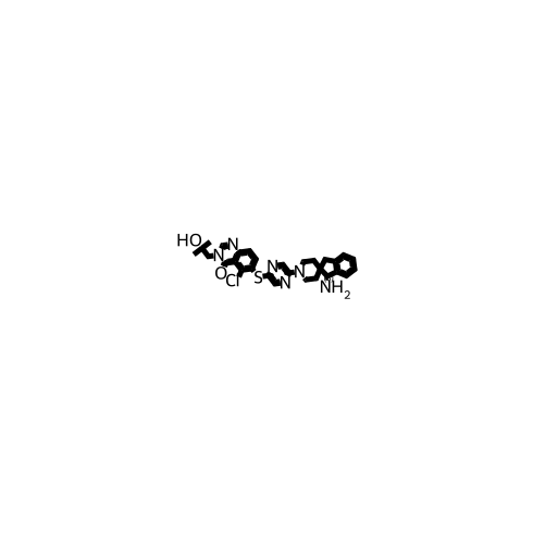 CC(C)(O)Cn1cnc2ccc(Sc3cnc(N4CCC5(CC4)Cc4ccccc4[C@H]5N)cn3)c(Cl)c2c1=O